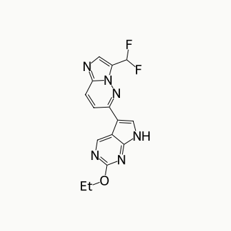 CCOc1ncc2c(-c3ccc4ncc(C(F)F)n4n3)c[nH]c2n1